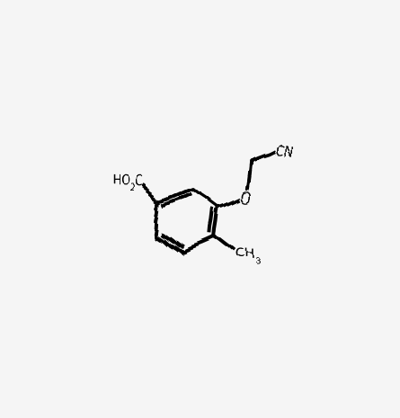 Cc1ccc(C(=O)O)cc1OCC#N